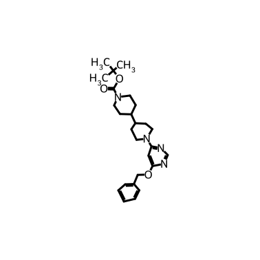 CC(C)(C)OC(=O)N1CCC(C2CCN(c3cc(OCc4ccccc4)ncn3)CC2)CC1